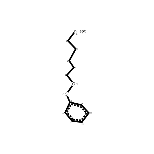 CCCCCCCCCCCCOSc1ccccc1